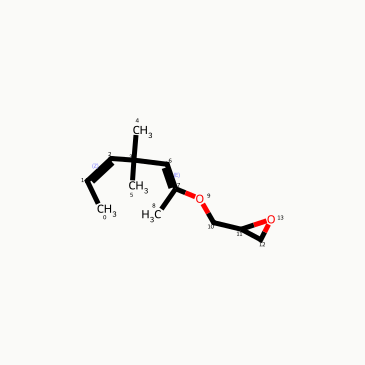 C/C=C\C(C)(C)/C=C(\C)OCC1CO1